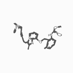 COC(=O)Nc1cccc(C)c1COc1cccn2c(CC#CCN(C)C)c(C)nc12